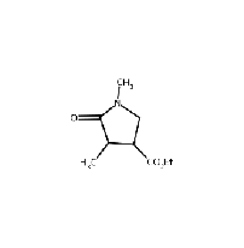 CCOC(=O)C1CN(C)C(=O)C1C